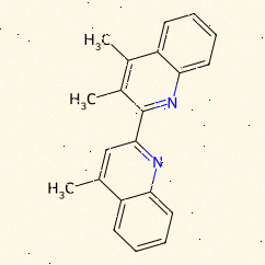 Cc1c(-c2cc(C)c3ccccc3n2)nc2ccccc2c1C